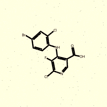 O=C(O)c1cnc(Cl)c(F)c1Nc1ccc(Br)cc1Cl